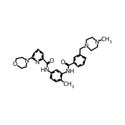 Cc1ccc(NC(=O)c2cccc(N3CCOCC3)n2)cc1NC(=O)c1cccc(CN2CCN(C)CC2)c1